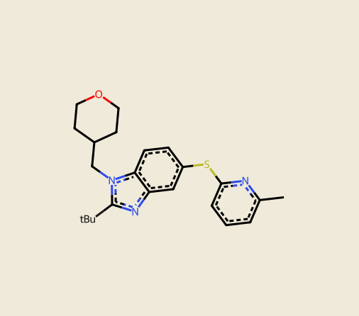 Cc1cccc(Sc2ccc3c(c2)nc(C(C)(C)C)n3CC2CCOCC2)n1